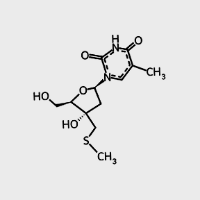 CSC[C@]1(O)C[C@H](n2cc(C)c(=O)[nH]c2=O)O[C@@H]1CO